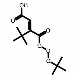 CC(C)(C)OOOC(=O)C(=CC(=O)O)C(C)(C)C